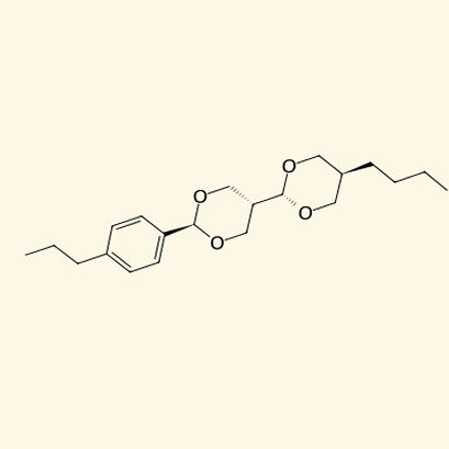 CCCC[C@H]1CO[C@H]([C@H]2CO[C@H](c3ccc(CCC)cc3)OC2)OC1